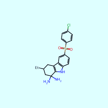 CCC1Cc2c([nH]c3ccc(S(=O)(=O)c4ccc(Cl)cc4)cc23)C(N)(N)C1